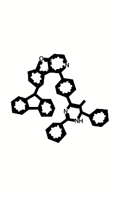 CC1=C(c2ccc(-c3nccc4oc5ccc(C6c7ccccc7-c7ccccc76)cc5c34)cc2)N=C(c2ccccc2)NC1c1ccccc1